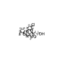 Cn1c(=O)n(CCCO)c(=O)c2c1nc(Oc1ccccc1F)n2Cc1ccc(Cl)cc1